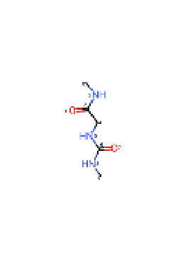 CNC(=O)CNC(=O)NC